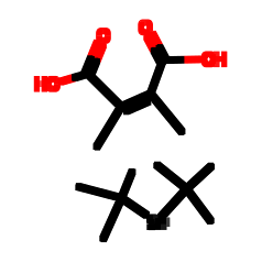 C/C(C(=O)O)=C(\C)C(=O)O.C[C](C)(C)[Sn][C](C)(C)C